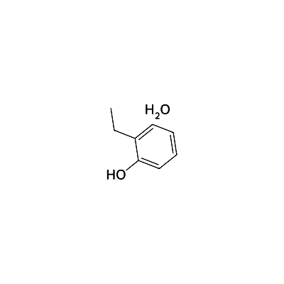 CCc1ccccc1O.O